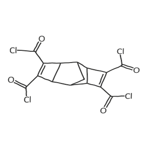 O=C(Cl)C1=C(C(=O)Cl)C2C3CC(C12)C1C(C(=O)Cl)=C(C(=O)Cl)C31